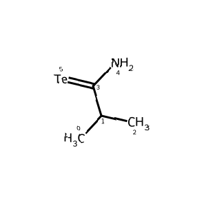 CC(C)C(N)=[Te]